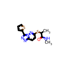 CNC(=O)C(C)Sc1ccc2nnc(-c3cccs3)n2n1